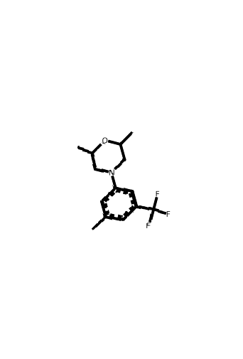 Cc1cc(N2CC(C)OC(C)C2)cc(C(F)(F)F)c1